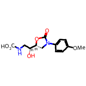 COc1ccc(N2C[C@H]([C@H](O)CNC(=O)O)OC2=O)cc1